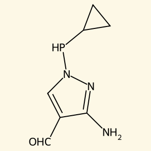 Nc1nn(PC2CC2)cc1C=O